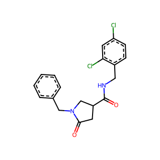 O=C(NCc1ccc(Cl)cc1Cl)C1CC(=O)N(Cc2ccccc2)C1